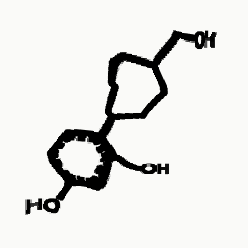 OCC1CCC(c2ccc(O)cc2O)CC1